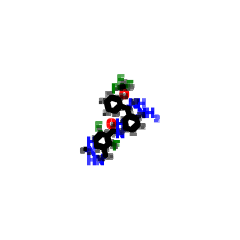 CNc1cc(F)c(C(=O)Nc2ccc(N)c(C(=N)c3ccccc3OC(F)(F)F)c2)c(F)c1C=N